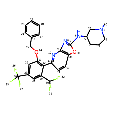 CN1CCC[C@@H](Nc2nc3nc(-c4c(OCc5ccccc5)cc(C(F)(F)F)cc4C(F)F)ccc3o2)C1